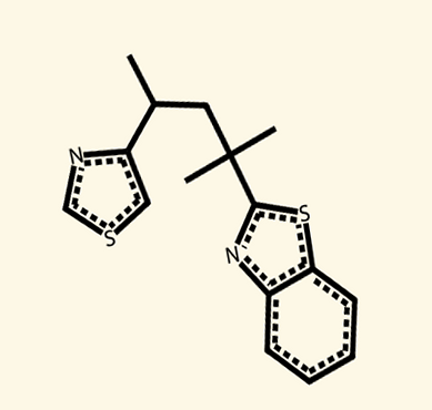 CC(CC(C)(C)c1nc2ccccc2s1)c1cscn1